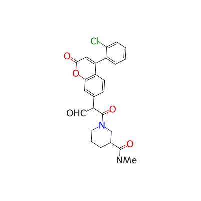 CNC(=O)C1CCCN(C(=O)C(C=O)c2ccc3c(-c4ccccc4Cl)cc(=O)oc3c2)C1